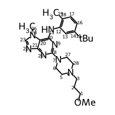 COCCCN1CCN(c2nc(Nc3cc(C(C)(C)C)ccc3C)c3c(ncn3C)n2)CC1